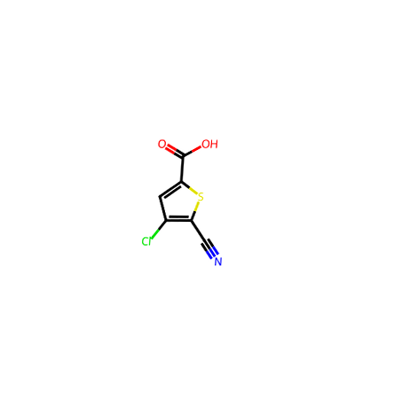 N#Cc1sc(C(=O)O)cc1Cl